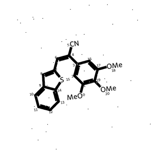 COc1cc(C(C#N)=Cc2cc3ccccc3s2)cc(OC)c1OC